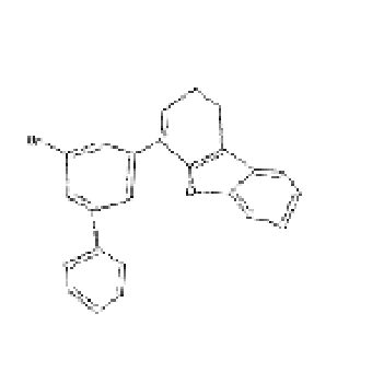 Brc1cc(C2=CCCc3c2oc2ccccc32)cc(-c2ccccc2)c1